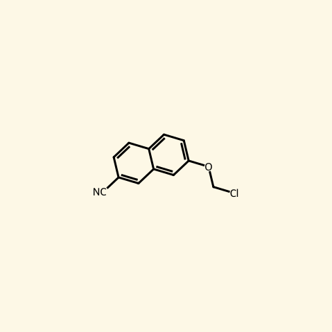 N#Cc1ccc2ccc(OCCl)cc2c1